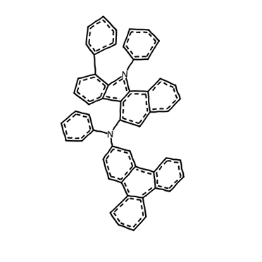 c1ccc(-c2cccc3c4c(N(c5ccccc5)c5ccc6c7ccccc7c7ccccc7c6c5)cc5ccccc5c4n(-c4ccccc4)c23)cc1